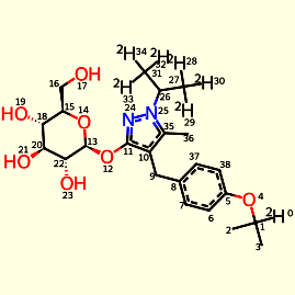 [2H]C(C)(C)Oc1ccc(Cc2c(O[C@@H]3O[C@H](CO)[C@@H](O)[C@H](O)[C@H]3O)nn(C(C([2H])([2H])[2H])C([2H])([2H])[2H])c2C)cc1